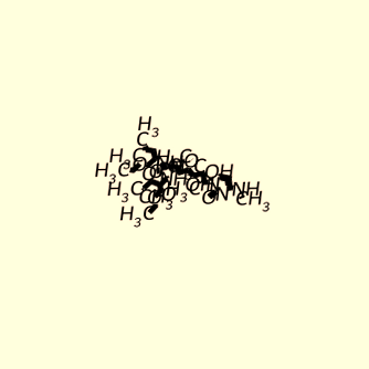 CCOC(=O)C(CC(C)C)NP(=O)(NC(CC(C)C)C(=O)OCC)OCC(OC)C(O)C(C)(O)C(C)n1ccc(NC)nc1=O